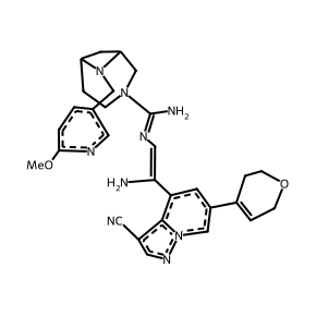 COc1ccc(CN2C3CCN(/C(N)=N/C=C(\N)c4cc(C5=CCOCC5)cn5ncc(C#N)c45)CC2C3)cn1